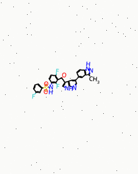 Cc1n[nH]c2ccc(-c3cnc4[nH]cc(C(=O)c5c(F)ccc(NS(=O)(=O)c6cccc(F)c6)c5F)c4c3)cc12